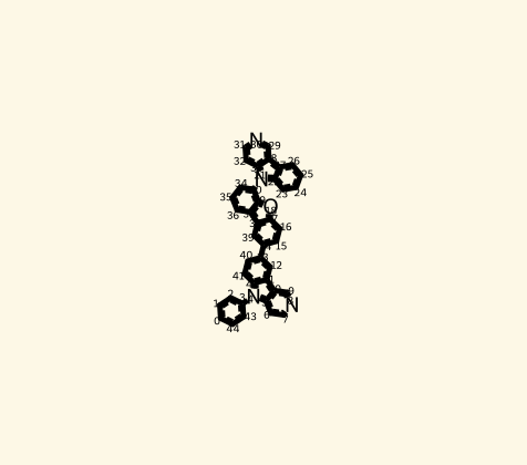 c1ccc(-n2c3ccncc3c3cc(-c4ccc5oc6c(-n7c8ccccc8c8cnccc87)cccc6c5c4)ccc32)cc1